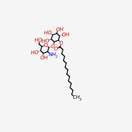 CCCCCCCCCCCCCCCC(=O)OC1C(O[C@H]2OC(CO)[C@@H](O)[C@H](O)C2N)[C@@H](O)[C@@H](O)C(O)[C@@H]1O